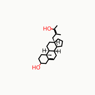 CC(O)=C(C)C[C@@]12CCC[C@H]1[C@@H]1CC=C3C[C@@H](O)CC[C@]3(C)[C@H]1CC2